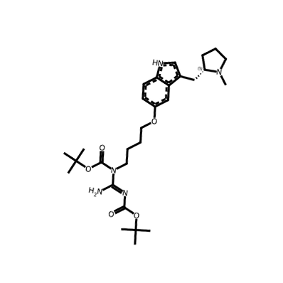 CN1CCC[C@H]1Cc1c[nH]c2ccc(OCCCCN(C(=O)OC(C)(C)C)C(N)=NC(=O)OC(C)(C)C)cc12